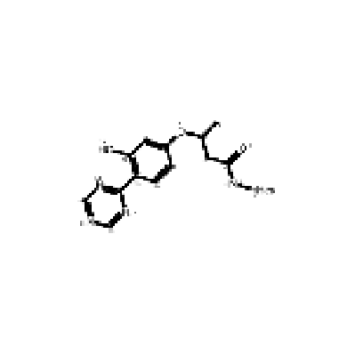 CCCCCCNC(=O)CC(C)Oc1ccc(-c2ncncn2)c(O)c1